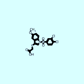 COc1ccc2c(c1)c(SCC(=O)O)cn2S(=O)(=O)c1ccc(Cl)c(Cl)c1